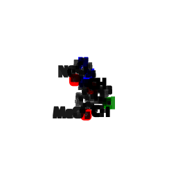 C#Cc1c(C(=O)OC)cccc1-c1cc(Cl)ccc1OCCn1c(C)nc2cncc(C#N)c2c1=O